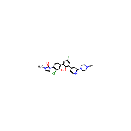 CC(C)N1CCN(c2cc(-c3cc(F)cc(-c4ccc(-n5ccn(C)c5=O)c(Cl)c4)c3O)ccn2)CC1